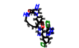 O=C1NCCCCC[C@H](n2cnc(-c3cc(Cl)ccc3-n3cc(Cl)nn3)cc2=O)c2cccc(c2)N2CCNC[C@@H]12